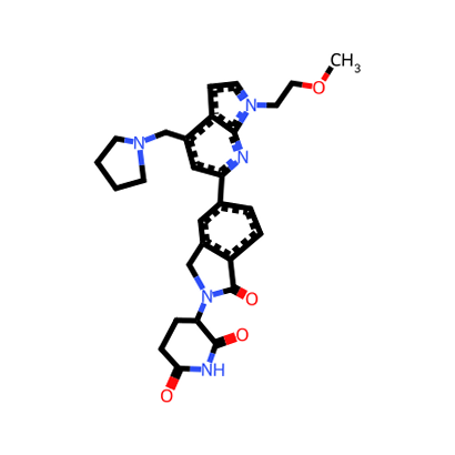 COCCn1ccc2c(CN3CCCC3)cc(-c3ccc4c(c3)CN(C3CCC(=O)NC3=O)C4=O)nc21